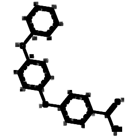 CC(C)(C)C(=O)c1ccc(Oc2ccc(Oc3ccccc3)cc2)cc1